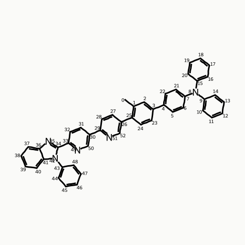 Cc1cc(-c2ccc(N(c3ccccc3)c3ccccc3)cc2)ccc1-c1ccc(-c2ccc(-c3nc4ccccc4n3-c3ccccc3)nc2)nc1